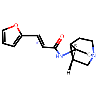 O=C(/C=C/c1ccco1)N[C@H]1CN2CCC1CC2